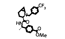 COC(=O)c1ccc([C@H](C)NC(=O)[C@H]2CCC3CC3N2Cc2ccc(C(F)(F)F)cc2)cc1